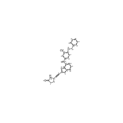 O=C1CC[C@H](C#Cc2cc3ncnc(Nc4ccc(OCc5ccccn5)c(Cl)c4)c3s2)N1